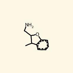 CC1c2ccccc2OC1CN